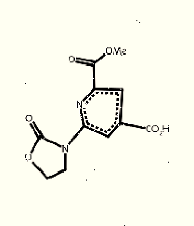 COC(=O)c1cc(C(=O)O)cc(N2CCOC2=O)n1